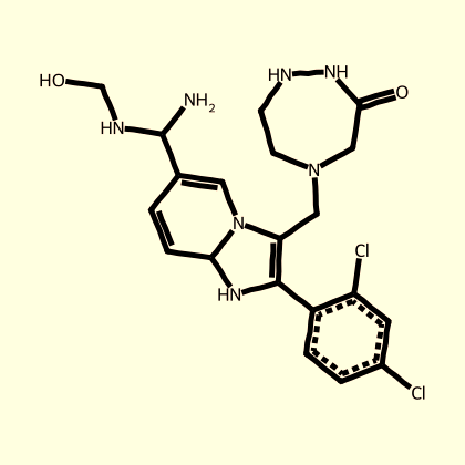 NC(NCO)C1=CN2C(CN3CCNNC(=O)C3)=C(c3ccc(Cl)cc3Cl)NC2C=C1